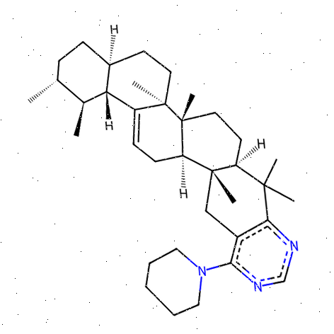 C[C@@H]1[C@H]2C3=CC[C@@H]4[C@@]5(C)Cc6c(N7CCCCC7)ncnc6C(C)(C)[C@@H]5CC[C@@]4(C)[C@]3(C)CC[C@@H]2CC[C@H]1C